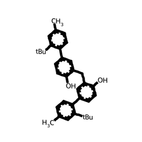 Cc1ccc(-c2ccc(O)c(Cc3cc(-c4ccc(C)cc4C(C)(C)C)ccc3O)c2)c(C(C)(C)C)c1